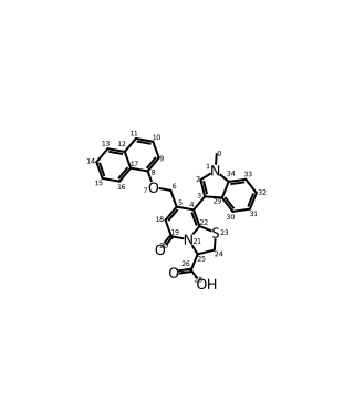 Cn1cc(-c2c(COc3cccc4ccccc34)cc(=O)n3c2SCC3C(=O)O)c2ccccc21